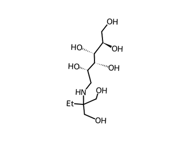 CCC(CO)(CO)NC[C@H](O)[C@@H](O)[C@H](O)[C@H](O)CO